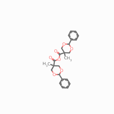 CC1(C(=O)OC(=O)C2(C)COC(c3ccccc3)OC2)COC(c2ccccc2)OC1